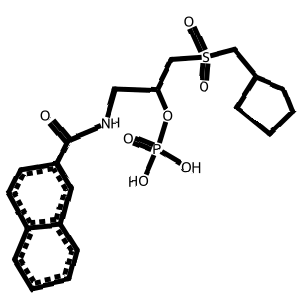 O=C(NCC(CS(=O)(=O)CC1CCCC1)OP(=O)(O)O)c1ccc2ccccc2c1